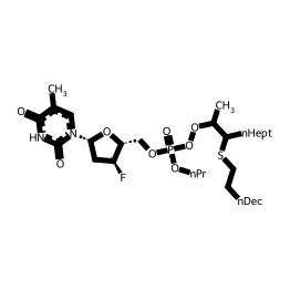 CCCCCCCCCCCCSC(CCCCCCC)C(C)OOP(=O)(OCCC)OC[C@H]1O[C@@H](n2cc(C)c(=O)[nH]c2=O)C[C@@H]1F